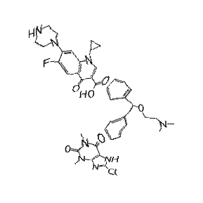 CN(C)CCOC(c1ccccc1)c1ccccc1.Cn1c(=O)c2[nH]c(Cl)nc2n(C)c1=O.O=C(O)c1cn(C2CC2)c2cc(N3CCNCC3)c(F)cc2c1=O